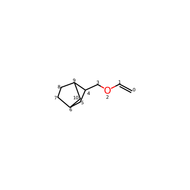 C=COCC1CC2CCC1C2